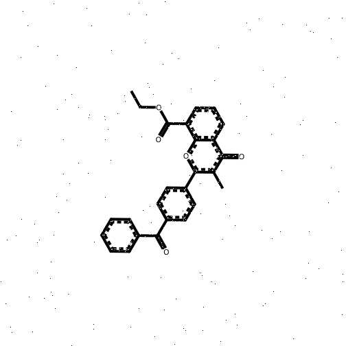 CCOC(=O)c1cccc2c(=O)c(C)c(-c3ccc(C(=O)c4ccccc4)cc3)oc12